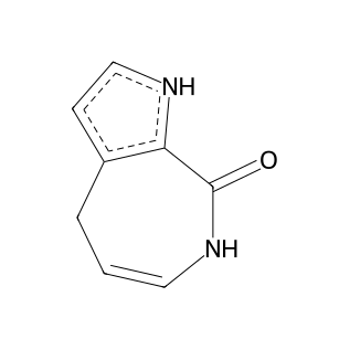 O=C1NC=CCc2cc[nH]c21